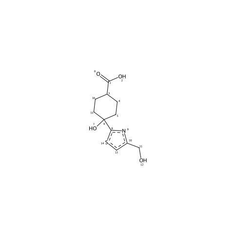 O=C(O)C1CCC(O)(c2nc(CO)cs2)CC1